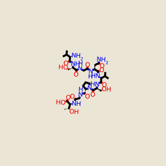 CC(C)[C@H](N)C(=O)N[C@@H](CO)C(=O)NCC(=O)N[C@@H](CC(N)=O)C(=O)N[C@H](C(=O)N[C@@H](CO)C(=O)N1CCC[C@H]1C(=O)NCC(=O)N[C@H](C(=O)O)[C@@H](C)O)C(C)C